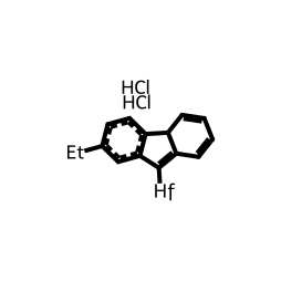 CCc1ccc2c(c1)[C]([Hf])=C1C=CC=CC12.Cl.Cl